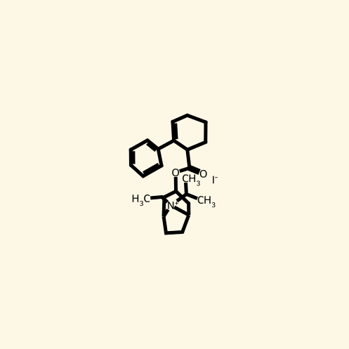 CC[N+]1(C(C)C)C2CCC1CC(OC(=O)C1CCCC=C1c1ccccc1)C2.[I-]